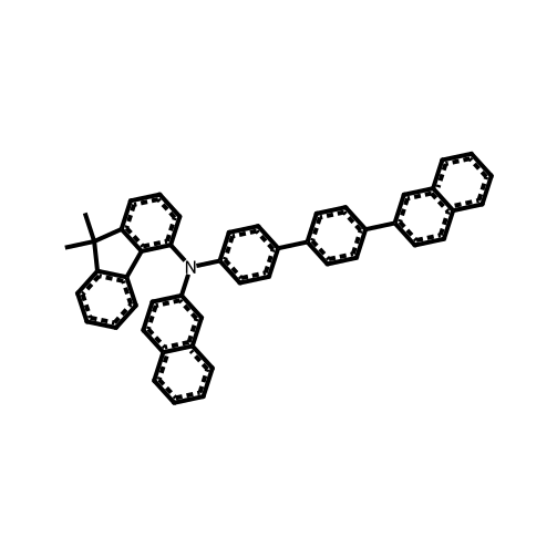 CC1(C)c2ccccc2-c2c(N(c3ccc(-c4ccc(-c5ccc6ccccc6c5)cc4)cc3)c3ccc4ccccc4c3)cccc21